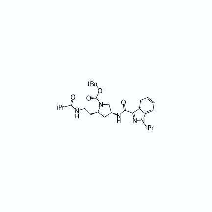 CC(C)C(=O)NCC[C@@H]1C[C@H](NC(=O)c2nn(C(C)C)c3ccccc23)CN1C(=O)OC(C)(C)C